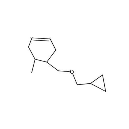 CC1C[C]=CCC1COCC1CC1